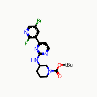 CC(C)(C)OC(=O)N1CCCC(Nc2nccc(-c3cc(Br)cnc3F)n2)C1